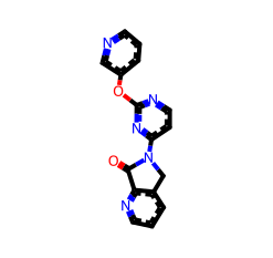 O=C1c2ncccc2CN1c1ccnc(Oc2cccnc2)n1